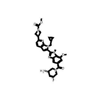 COC(=O)N1CC(c2ccc3cc(-c4nc5cc(C(=O)N6C[C@H](N)C[C@@H](F)C6)cc(OC)c5n4C)n(CC4CC4)c3n2)C1